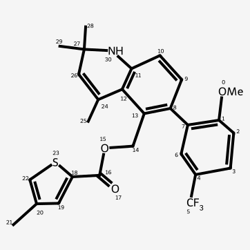 COc1ccc(C(F)(F)F)cc1-c1ccc2c(c1COC(=O)c1cc(C)cs1)C(C)=CC(C)(C)N2